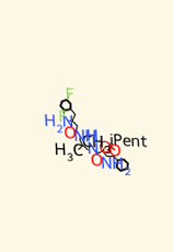 CCCC(C)C(=O)OC(C(=O)NCC(C)(C)CNC(=O)CC(N)Cc1cc(F)ccc1F)C(N)Cc1ccccc1